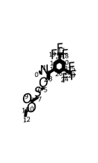 C=N/C(=C\OCSCC(=O)OCC)c1cc(C(F)(F)F)cc(C(F)(F)F)c1